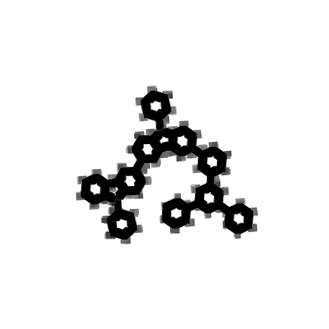 c1ccc(-c2cc(-c3ccccc3)cc(-c3cccc(-c4ccc5c(c4)c4cc(-c6ccc7c(c6)c6ccccc6n7-c6ccccc6)ccc4n5-c4ccccc4)c3)c2)cc1